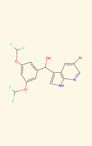 OC(c1cc(OC(F)F)cc(OC(F)F)c1)c1c[nH]c2ncc(Br)cc12